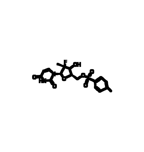 Cc1ccc(S(=O)(=O)OC[C@H]2O[C@@H](n3ccc(=O)[nH]c3=O)[C@](C)(F)C2O)cc1